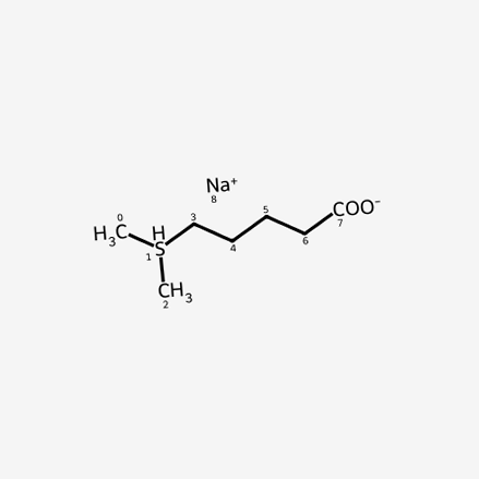 C[SH](C)CCCCC(=O)[O-].[Na+]